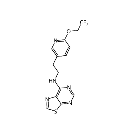 FC(F)(F)COc1ccc(CCNc2ncnc3scnc23)cn1